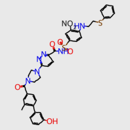 Cc1cc(C(=O)N2CCN(c3ccc(C(=O)NS(=O)(=O)c4ccc(NCCSc5ccccc5)c([N+](=O)[O-])c4)nn3)CC2)ccc1-c1cccc(O)c1